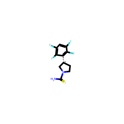 NC(=S)N1CC[C@@H](c2c(F)c(F)cc(F)c2F)C1